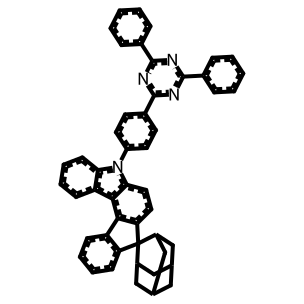 c1ccc(-c2nc(-c3ccccc3)nc(-c3ccc(-n4c5ccccc5c5c6c(ccc54)C4(c5ccccc5-6)C5CC6CC(C5)CC4C6)cc3)n2)cc1